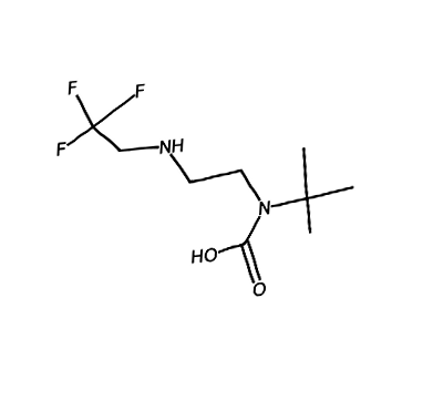 CC(C)(C)N(CCNCC(F)(F)F)C(=O)O